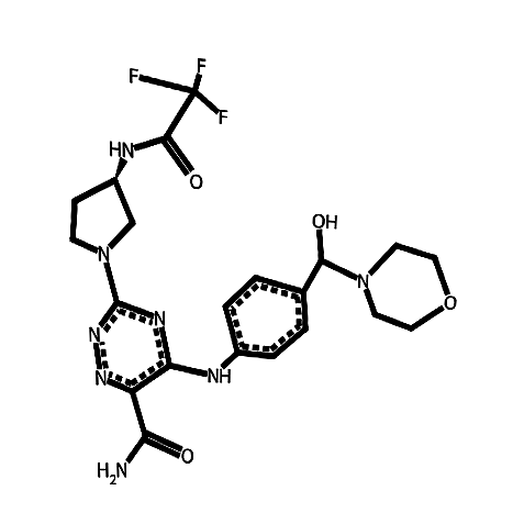 NC(=O)c1nnc(N2CC[C@@H](NC(=O)C(F)(F)F)C2)nc1Nc1ccc(C(O)N2CCOCC2)cc1